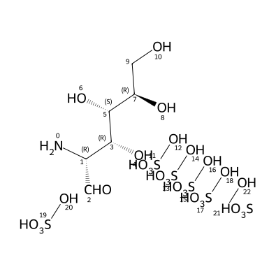 N[C@@H](C=O)[C@@H](O)[C@H](O)[C@H](O)CO.O=S(=O)(O)O.O=S(=O)(O)O.O=S(=O)(O)O.O=S(=O)(O)O.O=S(=O)(O)O.O=S(=O)(O)O